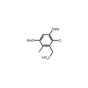 COc1cc(OC)c(Cl)c(CC(=O)O)c1F